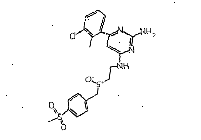 Cc1c(Cl)cccc1-c1cc(NCC[S+]([O-])Cc2ccc(S(C)(=O)=O)cc2)nc(N)n1